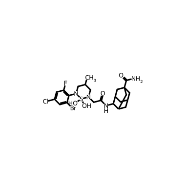 CC1CN(CC(=O)NC2C3CC4CC2CC(C(N)=O)(C4)C3)S(O)(O)N(c2c(F)cc(Cl)cc2Br)C1